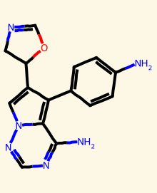 Nc1ccc(-c2c(C3CN=CO3)cn3ncnc(N)c23)cc1